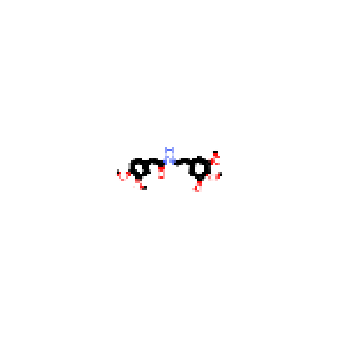 COc1ccc(CC(=O)NCCc2cc(OC)c(OC)c(OC)c2)cc1OC